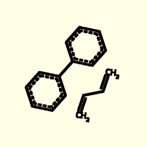 C=CC=C.c1ccc(-c2ccccc2)cc1